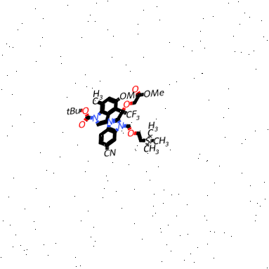 COC(=O)COC(c1c(OC)cc(C)c2c1ccn2C(=O)OC(C)(C)C)(c1nc2ccc(C#N)cc2n1COCC[Si](C)(C)C)C(F)(F)F